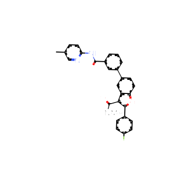 CNC(=O)c1c(-c2ccc(F)cc2)oc2ccc(-c3cccc(C(=O)Nc4ccc(C)cn4)c3)cc12